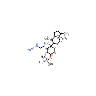 C=C1CCC2[C@H](OC(C)=O)C([C@@]3(C)CCC(O[Si](C)(C)C(C)(C)C)C[C@@H]3CCN=[N+]=[N-])CC[C@]12C